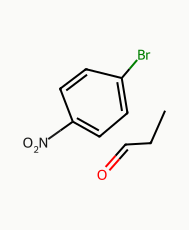 CCC=O.O=[N+]([O-])c1ccc(Br)cc1